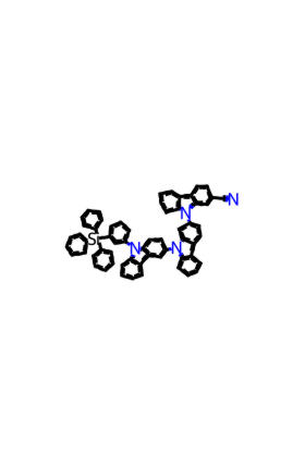 N#Cc1ccc2c3ccccc3n(-c3ccc4c5ccccc5n(-c5ccc6c(c5)c5ccccc5n6-c5cccc([Si](c6ccccc6)(c6ccccc6)c6ccccc6)c5)c4c3)c2c1